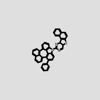 C1=NC(n2c3cccc4c3c3c(c(-c5ccccc5)ccc32)-c2cccc3cccc-4c23)=NC2c3c(ccc4ccccc34)SC12